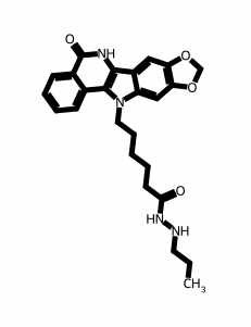 CCCNNC(=O)CCCCCn1c2cc3c(cc2c2[nH]c(=O)c4ccccc4c21)OCO3